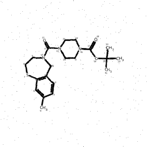 Cc1ccc2c(c1)SCCN(C(=O)N1CCN(C(=O)OC(C)(C)C)CC1)C2